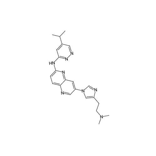 CC(C)c1cnnc(Nc2ccc3ncc(-n4cnc(CCN(C)C)c4)cc3n2)c1